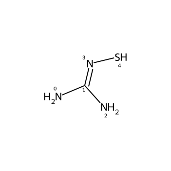 NC(N)=NS